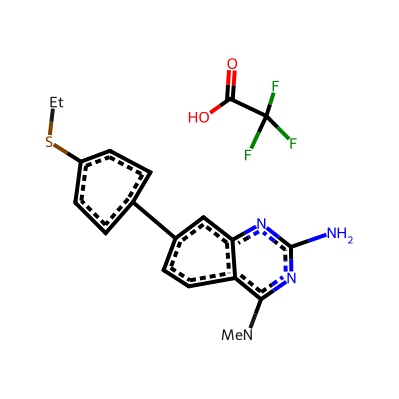 CCSc1ccc(-c2ccc3c(NC)nc(N)nc3c2)cc1.O=C(O)C(F)(F)F